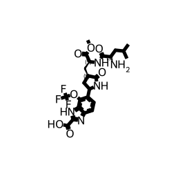 COC(=O)[C@H](C[C@@H]1CC(c2ccc3nc(C(=O)O)[nH]c3c2OC(F)(F)F)NC1=O)NC(=O)[C@@H](N)CC(C)C